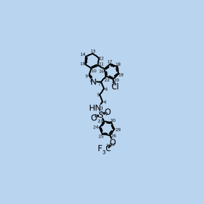 O=S(=O)(NCCCC1N=CC2=C(CCC=C2)c2cccc(Cl)c21)c1ccc(OC(F)(F)F)cc1